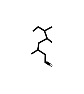 CCC(C)C(C)CC(C)CC=O